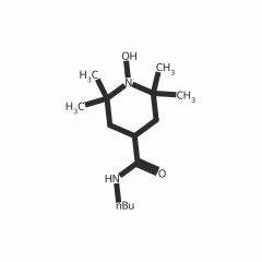 CCCCNC(=O)C1CC(C)(C)N(O)C(C)(C)C1